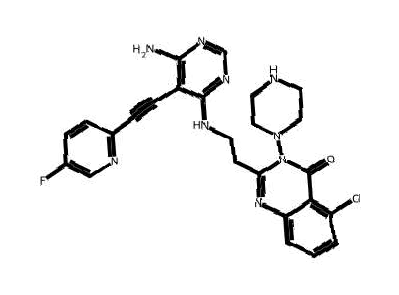 Nc1ncnc(NCCc2nc3cccc(Cl)c3c(=O)n2N2CCNCC2)c1C#Cc1ccc(F)cn1